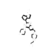 OCCN1CCN(Cc2cc3c(N4CCOCC4)nc(-c4cccc5[nH]ccc45)nc3s2)CC1